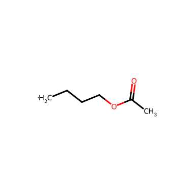 [CH2]CCCOC(C)=O